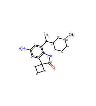 CC(c1cc(N)cc2c1NC(=O)C21CCC1)C1CCCN(C)C1